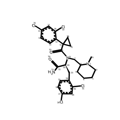 CN1CCCCC1CN(C(=O)C1(c2ccc(Cl)cc2Cl)CC1)[C@@H](Cc1ccc(Cl)cc1Cl)C(N)=O